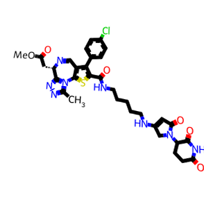 COC(=O)C[C@@H]1N=Cc2c(sc(C(=O)NCCCCCNC3=CC(=O)N(C4CCC(=O)NC4=O)C3)c2-c2ccc(Cl)cc2)-n2c(C)nnc21